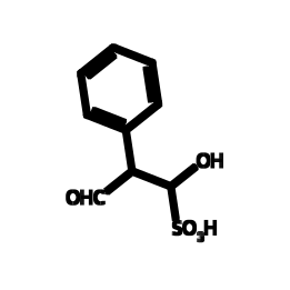 O=CC(c1ccccc1)C(O)S(=O)(=O)O